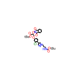 CC(C)(C)OC(=O)NCCCn1cc(-c2ccc(OCC(ON3C(=O)c4ccccc4C3=O)C(=O)OC(C)(C)C)cc2Cl)cn1